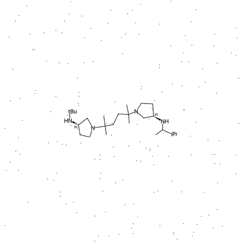 CC(C)C(C)N[C@@H]1CCN(C(C)(C)CCC(C)(C)N2CC[C@@H](NC(C)(C)C)C2)C1